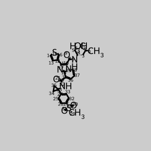 CC(C)C[C@@H](CO)NC(=O)c1c(-c2ccsc2)nc2c(C(=O)NC3(c4ccc(S(C)(=O)=O)cc4)CC3)cccn12